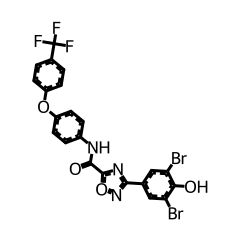 O=C(Nc1ccc(Oc2ccc(C(F)(F)F)cc2)cc1)c1nc(-c2cc(Br)c(O)c(Br)c2)no1